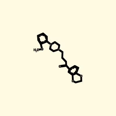 COc1ccccc1N1CCN(CCCC(=O)c2ccc3c(c2)OCCO3)CC1